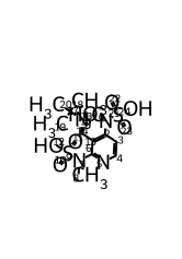 CN(c1ccnc(N(C)S(=O)(=O)O)c1C=[N+]([O-])C(C)(C)C)S(=O)(=O)O